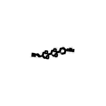 CC/C=C/[C@H]1CO[C@H]([C@H]2CO[C@H]([C@H]3CC[C@H](CCCC)CC3)OC2)OC1